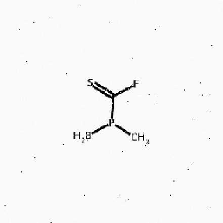 BP(C)C(F)=S